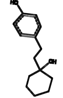 Oc1ccc(CCC2(O)CCCCC2)cc1